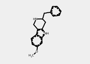 COc1ccc2c3c([nH]c2c1)CC(Cc1ccccc1)NC3